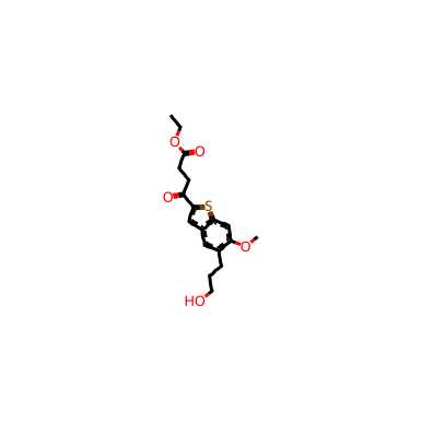 CCOC(=O)CCC(=O)c1cc2cc(CCCO)c(OC)cc2s1